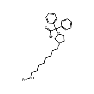 CC(C)NCCCCCCCCN1CC[C@H](C(C(N)=O)(c2ccccc2)c2ccccc2)C1